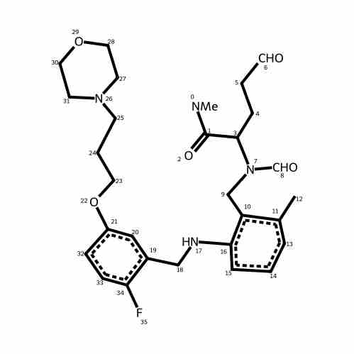 CNC(=O)C(CCC=O)N(C=O)Cc1c(C)cccc1NCc1cc(OCCCN2CCOCC2)ccc1F